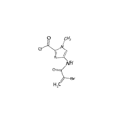 C=C(Br)C(=O)Nc1cn(C)c(C(=O)Cl)n1